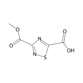 COC(=O)c1nsc(C(=O)O)n1